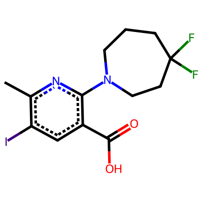 Cc1nc(N2CCCC(F)(F)CC2)c(C(=O)O)cc1I